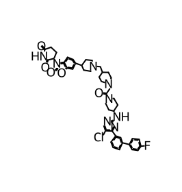 O=C1CCC(n2c(=O)oc3cc(C4CCN(CC5CCN(CC(=O)N6CCC(Nc7ncc(Cl)c(-c8cccc(-c9ccc(F)cc9)c8)n7)CC6)CC5)CC4)ccc32)C(=O)N1